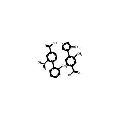 Cc1cc(C(=O)O)ccc1-c1cscc1C.Cc1ccccc1-c1ccc(C(=O)O)cc1[N+](=O)[O-]